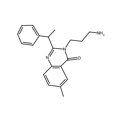 Cc1ccc2nc(C(C)c3ccccc3)n(CCCN)c(=O)c2c1